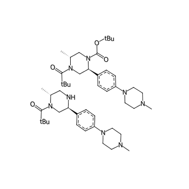 C[C@@H]1CN(C(=O)OC(C)(C)C)[C@@H](c2ccc(N3CCN(C)CC3)cc2)CN1C(=O)C(C)(C)C.C[C@@H]1CN[C@@H](c2ccc(N3CCN(C)CC3)cc2)CN1C(=O)C(C)(C)C